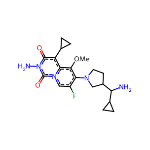 COc1c(N2CCC(C(N)C3CC3)C2)c(F)cn2c(=O)n(N)c(=O)c(C3CC3)c12